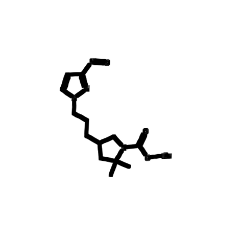 CC(C)(C)OC(=O)N1CC(CCCn2ccc([S+]=O)n2)CC1(C)C